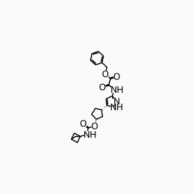 O=C(NC12CC(C1)C2)O[C@@H]1CC[C@H](c2cc(NC(=O)C(=O)OCc3ccccc3)n[nH]2)C1